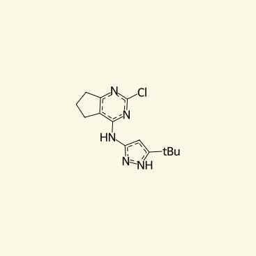 CC(C)(C)c1cc(Nc2nc(Cl)nc3c2CCC3)n[nH]1